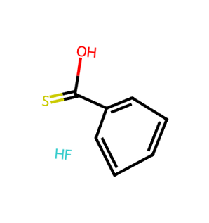 F.OC(=S)c1ccccc1